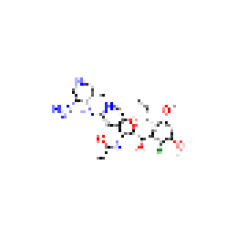 C=CCc1c(OC)cc(OC)c(F)c1C(=O)c1oc2cnc(Nc3c(C)cncc3N)cc2c1NC(=O)CC